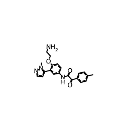 Cc1ccc(C(=O)C(=O)Nc2ccc(OCCN)c(-c3ccnn3C)c2)cc1